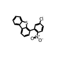 O=[N+]([O-])c1ccc(Cl)cc1-c1cccc2c1sc1ccccc12